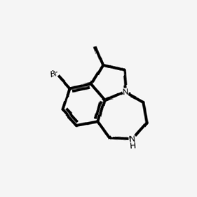 CC1CN2CCNCc3ccc(Br)c1c32